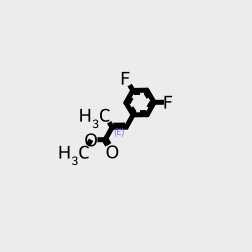 COC(=O)/C(C)=C/c1cc(F)cc(F)c1